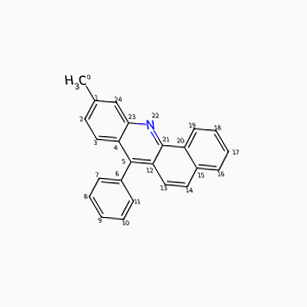 Cc1ccc2c(-c3ccccc3)c3ccc4ccccc4c3nc2c1